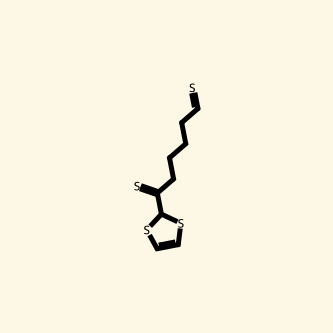 S=CCCCCC(=S)C1SC=CS1